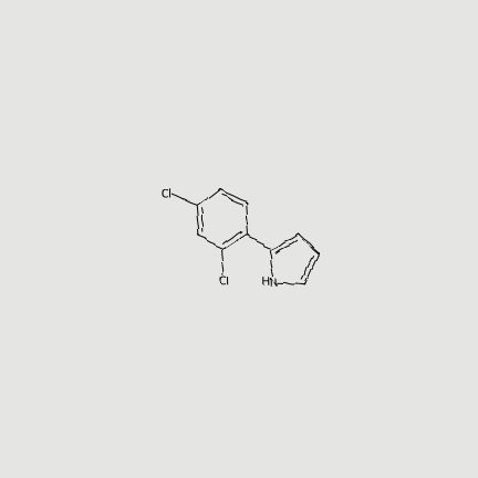 Clc1ccc(-c2ccc[nH]2)c(Cl)c1